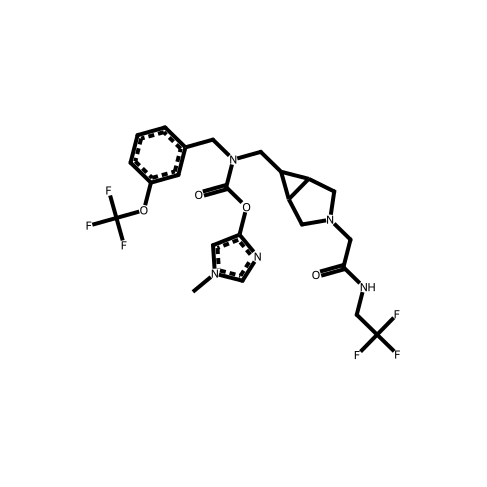 Cn1cnc(OC(=O)N(Cc2cccc(OC(F)(F)F)c2)CC2C3CN(CC(=O)NCC(F)(F)F)CC32)c1